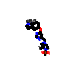 CS(=O)(=O)N1CC2C[C@H]1CN2Cc1cc(Oc2ccc3c(ccn3C(=O)O)c2)ncn1